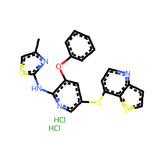 Cc1csc(Nc2ncc(Sc3ccnc4ccsc34)cc2Oc2ccccc2)n1.Cl.Cl